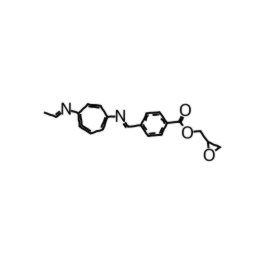 C/C=N/C1=C=CC=C(/N=C/c2ccc(C(=O)OCC3CO3)cc2)C=C1